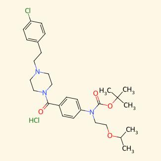 CC(C)OCCN(C(=O)OC(C)(C)C)c1ccc(C(=O)N2CCN(CCc3ccc(Cl)cc3)CC2)cc1.Cl